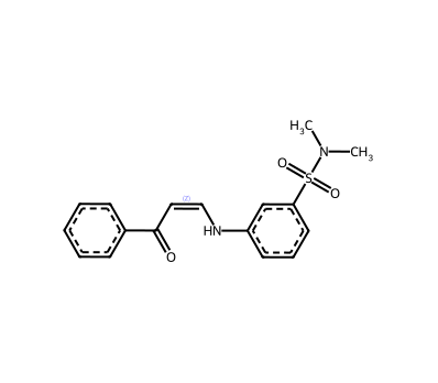 CN(C)S(=O)(=O)c1cccc(N/C=C\C(=O)c2ccccc2)c1